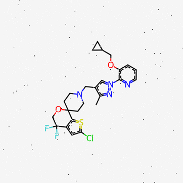 Cc1nn(-c2ncccc2OCC2CC2)cc1CN1CCC2(CC1)OCC(F)(F)c1cc(Cl)sc12